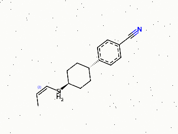 C/C=C\[SiH2][C@H]1CC[C@H](c2ccc(C#N)cc2)CC1